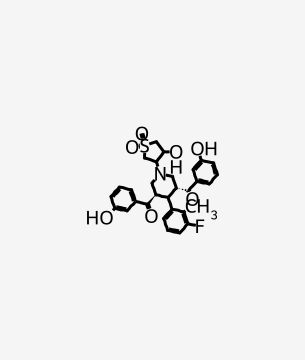 Cc1c(F)cccc1C1[C@@H](C(=O)c2cccc(O)c2)CN(C2CS(=O)(=O)CC2O)C[C@@H]1C(=O)c1cccc(O)c1